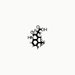 Cc1c(C(F)(F)C(=O)O)c(=O)[nH]c2ccc(F)c(C(F)(F)F)c12